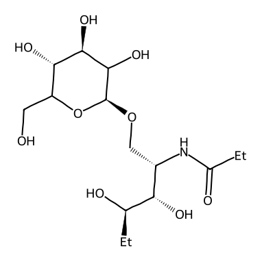 CCC(=O)N[C@@H](CO[C@H]1OC(CO)[C@H](O)[C@@H](O)C1O)[C@H](O)[C@H](O)CC